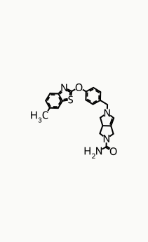 Cc1ccc2nc(Oc3ccc(CN4C=C5CN(C(N)=O)CC5C4)cc3)sc2c1